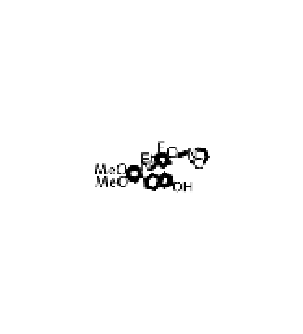 CCN(Cc1ccc(OCCN2CCCCCC2)c(F)c1)c1cc(OC)c(OC)cc1[C@@H]1CCc2cc(O)ccc2C1